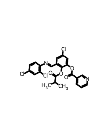 CC(C)C(=O)Oc1c(C=Nc2ccc(Cl)cc2Cl)cc(Cl)cc1OC(=O)c1cccnc1